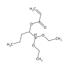 C=CC(=O)OC(CCC)[SiH](OCC)OCC